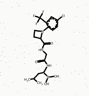 CC(C)CC(NC(=O)CNC(=O)C1CCN1c1ccc(Cl)cc1C(F)(F)F)B(O)O